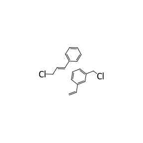 C=Cc1cccc(CCl)c1.ClCC=Cc1ccccc1